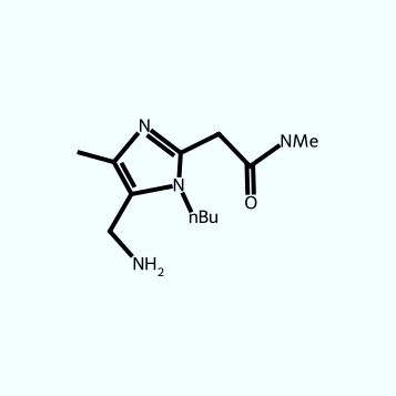 CCCCn1c(CC(=O)NC)nc(C)c1CN